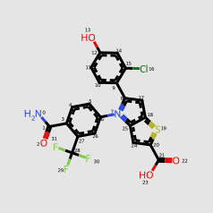 NC(=O)c1ccc(-n2c(-c3ccc(O)cc3Cl)cc3sc(C(=O)O)cc32)cc1C(F)(F)F